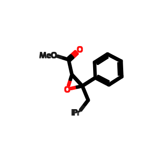 COC(=O)C1OC1(CC(C)C)c1ccccc1